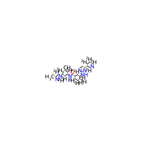 [2H]c1nc([2H])c(-c2ccnc(Nc3c([2H])c(C(=O)Nc4c([2H])c(C)c([2H])c(-n5c([2H])nc(C)c5[2H])c4[2H])c([2H])c([2H])c3C([2H])([2H])[2H])n2)c([2H])c1[2H]